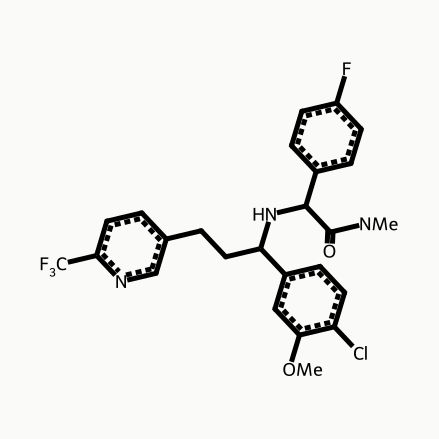 CNC(=O)C(NC(CCc1ccc(C(F)(F)F)nc1)c1ccc(Cl)c(OC)c1)c1ccc(F)cc1